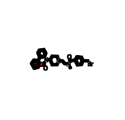 CN(CCN1CCC(N(C(=O)O)c2ccccc2-c2ccccc2)CC1)C(=O)c1ccc(CBr)cc1